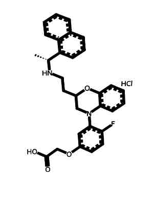 C[C@@H](NCCC1CN(c2cc(OCC(=O)O)ccc2F)c2ccccc2O1)c1cccc2ccccc12.Cl